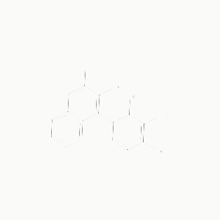 Oc1ccc(-c2c(O)c(O)cc3ccccc23)c(O)c1O